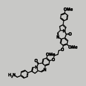 COc1ccc(C2=CN3C(=O)c4cc(OC)c(OCCCOc5cc6c(cc5OC)C(=O)N5C=C(c7ccc(CN)cc7)CC5C=N6)cc4N=CC3C2)cc1